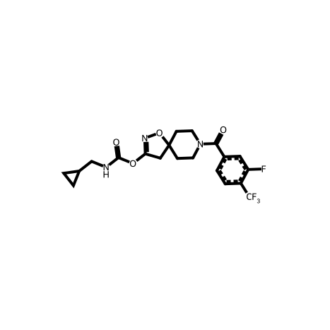 O=C(NCC1CC1)OC1=NOC2(CCN(C(=O)c3ccc(C(F)(F)F)c(F)c3)CC2)C1